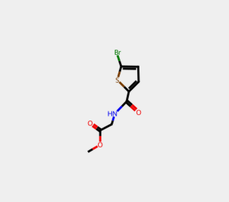 COC(=O)CNC(=O)c1ccc(Br)s1